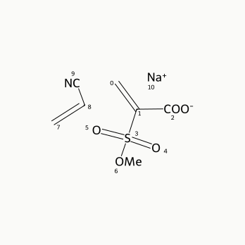 C=C(C(=O)[O-])S(=O)(=O)OC.C=CC#N.[Na+]